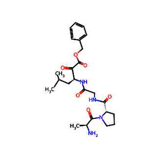 CC(C)C[C@H](NC(=O)CNC(=O)[C@@H]1CCCN1C(=O)[C@H](C)N)C(=O)C(=O)OCc1ccccc1